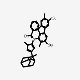 CC/[C](c1ccccc1)=[Zr](\[C]1=CC(C2(C)C3CC4CC(C3)CC2C4)=CC1C)[c]1c(C)c(C(C)(C)C)cc2c1Cc1cc(C)c(C(C)(C)C)cc1-2